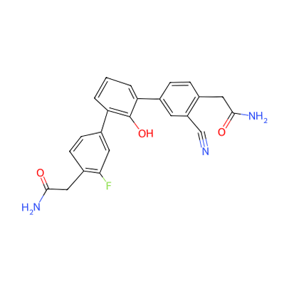 N#Cc1cc(-c2cccc(-c3ccc(CC(N)=O)c(F)c3)c2O)ccc1CC(N)=O